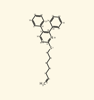 C=CCCCCCSc1ncc(-c2ccccc2)c(-c2ccccc2)n1